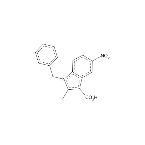 Cc1c(C(=O)O)c2cc([N+](=O)[O-])ccc2n1Cc1ccccc1